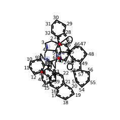 CC1C/C=C(c2c(-n3c4ccccc4c4cc5ccccc5cc43)ccc3oc4ccccc4c23)/N=C(c2ccccc2)\N=C/1c1cccc2c1oc1ccccc12